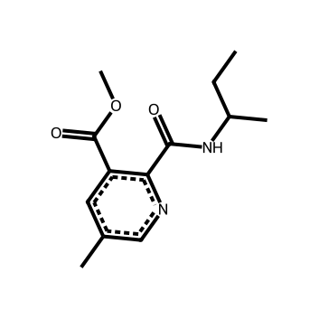 CCC(C)NC(=O)c1ncc(C)cc1C(=O)OC